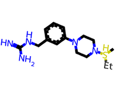 CC[SH](C)N1CCN(c2cccc(CNC(=N)N)c2)CC1